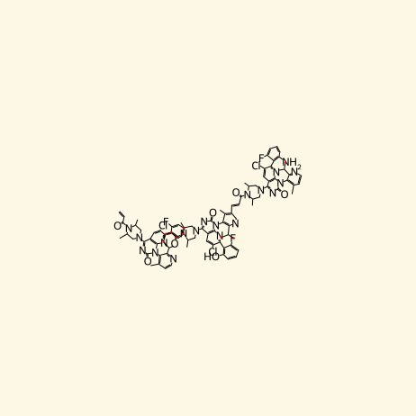 C=CC(=O)N1C(C)CN(c2nc(=O)n(-c3c(C)ccnc3C(C)C/C=C\C(=O)N3C(C)CN(c4nc(=O)n(-c5c(C(C)C)ncc(C=CC(=O)N6C(C)CN(c7nc(=O)n(-c8c(C)ccnc8C(C)C)c8nc(-c9c(N)cccc9F)c(Cl)cc78)CC6C)c5C)c5nc(-c6c(O)cccc6F)c(Cl)cc45)CC3C)c3nc(-c4ccccc4F)c(Cl)cc23)CC1C